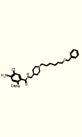 COc1cc(N)c(Cl)cc1C(=O)NCC1CCN(CCCCCCOCc2ccccc2)CC1